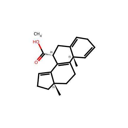 C.C[C@@]12CCC=C1C1=C(CC2)[C@@]2(C)C=CCC=C2C[C@H]1C(=O)O